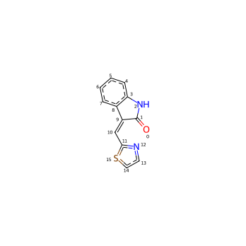 O=C1Nc2ccccc2C1=Cc1nccs1